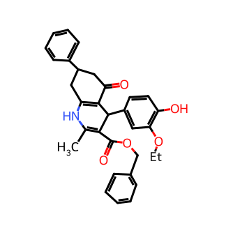 CCOc1cc(C2C(C(=O)OCc3ccccc3)=C(C)NC3=C2C(=O)CC(c2ccccc2)C3)ccc1O